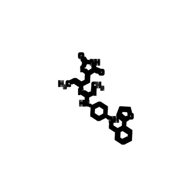 C=N\C(=N/C(=C\C)/C=C1\SC(=O)NC1=O)N[C@H]1CC[C@H](NCc2ccccc2-c2ccco2)CC1